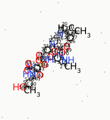 Cc1cc2cc(Oc3cc(N4CCC5(CC4)CN(C4CCC[C@H]4c4ccccc4C(C)C)C5)ccc3C(=O)NS(=O)(=O)c3cc4c(c([N+](=O)[O-])c3)N[C@@H]([C@H]3CC[C@](C)(O)CC3)CO4)c(OC[C@@H]3COCCO3)nc2[nH]1